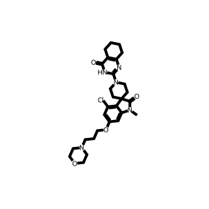 CN1C(=O)C2(CCN(c3nc4c(c(=O)[nH]3)CCCC4)CC2)c2c(Cl)cc(OCCCN3CCOCC3)cc21